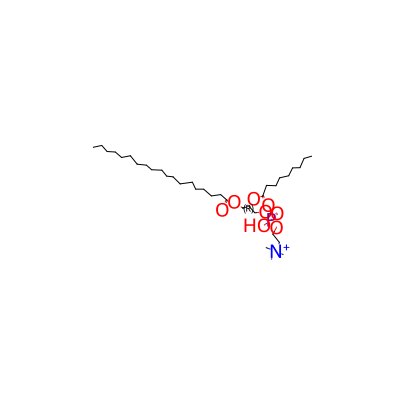 CCCCCCCCCCCCCCCCCCC(=O)OC[C@H](COP(=O)(O)OCC[N+](C)(C)C)OC(=O)CCCCCCCC